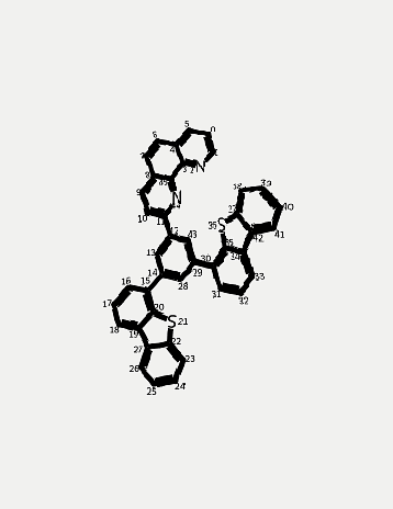 c1cnc2c(c1)ccc1ccc(-c3cc(-c4cccc5c4sc4ccccc45)cc(-c4cccc5c4sc4ccccc45)c3)nc12